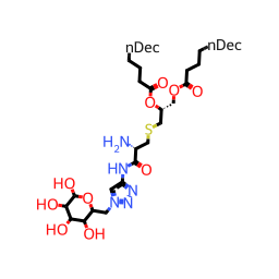 CCCCCCCCCCCCCC(=O)OC[C@H](CSC[C@@H](N)C(=O)Nc1cn(CC2OC(O)C(O)C(O)C2O)nn1)OC(=O)CCCCCCCCCCCCC